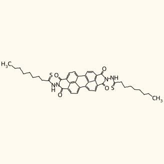 CCCCCCCCC(=S)NN1C(=O)c2ccc3c4ccc5c6c(ccc(c7ccc(c2c37)C1=O)c64)C(=O)N(NC(=S)CCCCCCCC)C5=O